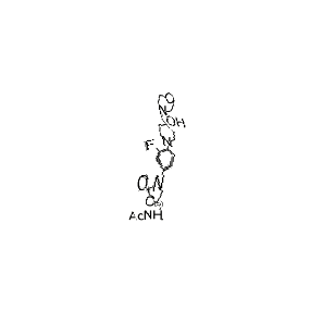 CC(=O)NC[C@H]1CN(c2ccc(N3CCC(O)(CN4CCOCC4)CC3)c(F)c2)C(=O)O1